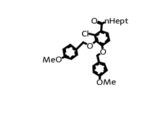 CCCCCCCC(=O)c1ccc(OCc2ccc(OC)cc2)c(OCc2ccc(OC)cc2)c1Cl